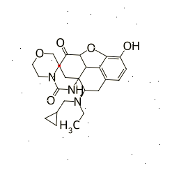 CCN(CC1CC1)[C@@H]1Cc2ccc(O)c3c2C2C(O3)C(=O)CCC21NC(=O)N1CCOCC1